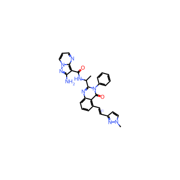 CC(NC(=O)c1c(N)nn2cccnc12)c1nc2cccc(/C=C/c3ccn(C)n3)c2c(=O)n1-c1ccccc1